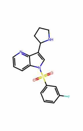 O=S(=O)(c1cccc(F)c1)n1cc(C2CCCN2)c2ncccc21